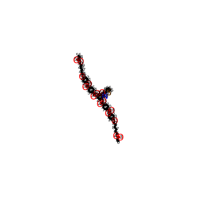 C=CC(=O)OCCCCCCOc1ccc(OC(=O)C2CCC(C(=O)Oc3ccc(OC(=O)C4CCC(C(=O)Oc5ccc(OCCCCCCOC(=O)C=C)cc5)CC4)c4oc(-c5cccs5)nc34)CC2)cc1